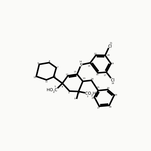 CC1(C(=O)O)CC(C(=O)O)(C2CCCCC2)C=C(Sc2cc(Cl)cc(Cl)c2)C1Cc1ccccc1